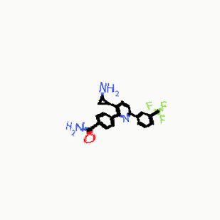 NC(=O)c1ccc(-c2nc(-c3cccc(C(F)(F)F)c3)ccc2C2CC2N)cc1